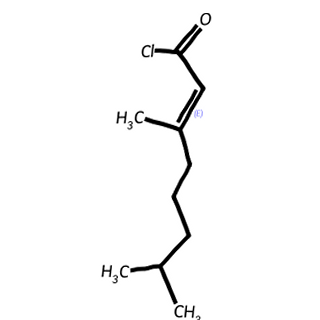 C/C(=C\C(=O)Cl)CCCC(C)C